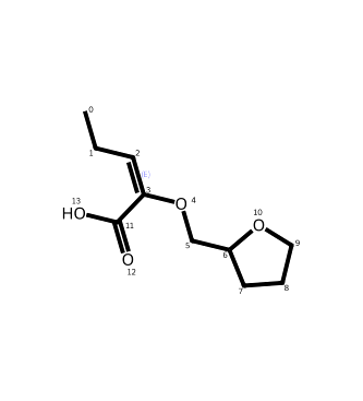 CC/C=C(/OCC1CCCO1)C(=O)O